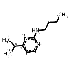 CCCCNc1nccc(C(C)C)n1